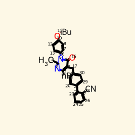 CCCc1nc(C)n(-c2ccc(OC(C)CC)cc2)c(=O)c1Cc1ccc(-c2ccccc2C#N)cc1